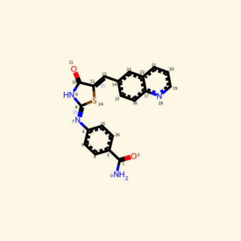 NC(=O)c1ccc(/N=C2/NC(=O)/C(=C/c3ccc4ncccc4c3)S2)cc1